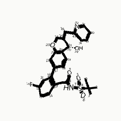 CC(C)(C)S(=O)(=O)NC(=O)c1ccc(F)cc1-c1ccc2c(c1)OCC(Cc1ccccn1)[C@@H]2O